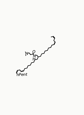 C/C=C\C/C=C\CCCCCCCCC(CCCCCCCC/C=C\C/C=C\CCCCC)CNC(=O)CCN(C)C